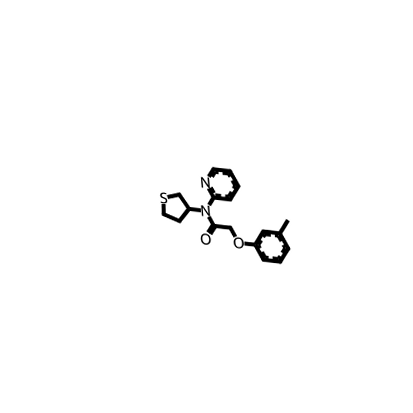 Cc1cccc(OCC(=O)N(c2ccccn2)C2CCSC2)c1